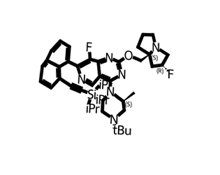 CC(C)[Si](C#Cc1cccc2cccc(-c3ncc4c(N5CCN(C(C)(C)C)C[C@@H]5C)nc(OC[C@@]56CCCN5C[C@H](F)C6)nc4c3F)c12)(C(C)C)C(C)C